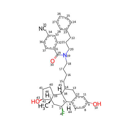 C[C@]12C[C@H](F)[C@@H]3c4ccc(O)cc4CC(CCCCN(CCCc4ccccc4)C(=O)c4ccc(C#N)cc4)[C@H]3[C@@H]1CC[C@@H]2O